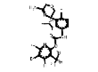 [2H]c1nc(OC(=O)Nc2ccc(F)c([C@]3(C(F)F)COCC(N)=N3)c2)c(C([2H])([2H])[2H])c([2H])c1Br